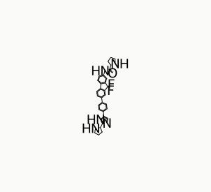 O=C(Nc1ccc2c(c1)C(F)(F)c1cc(-c3ccc(-c4cnc(C5CCCN5)[nH]4)cc3)ccc1-2)C1CCCN1